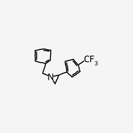 FC(F)(F)c1ccc(C2CN2Cc2ccccc2)cc1